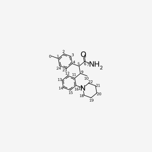 Cc1ccc(C(C(N)=O)C(C)c2ccccc2N2CCCCC2)cc1